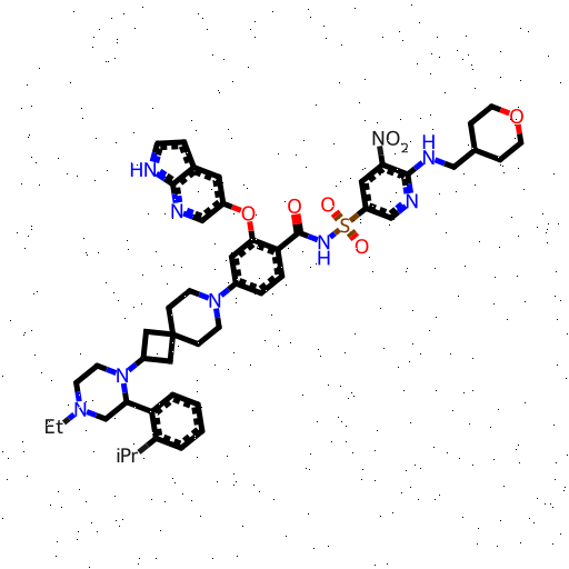 CCN1CCN(C2CC3(CCN(c4ccc(C(=O)NS(=O)(=O)c5cnc(NCC6CCOCC6)c([N+](=O)[O-])c5)c(Oc5cnc6[nH]ccc6c5)c4)CC3)C2)C(c2ccccc2C(C)C)C1